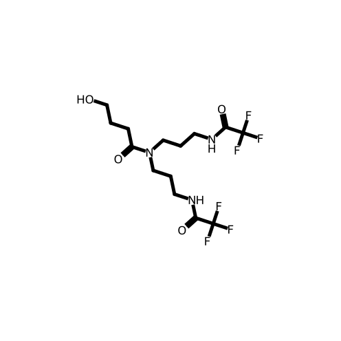 O=C(CCCO)N(CCCNC(=O)C(F)(F)F)CCCNC(=O)C(F)(F)F